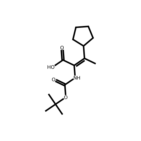 C/C(=C(\NC(=O)OC(C)(C)C)C(=O)O)C1CCCC1